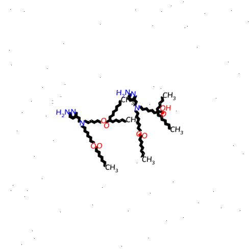 CCCCCCCCC(=O)OCCCCCCCCN(CCCCCCC(CCCCCC)(CCCCCCCC)C(=O)O)CCc1ccc(N)nc1.CCCCCCCCC(=O)OCCCCCCCCN(CCCCCCOC(=O)C(CCCCCC)CCCCCCCC)CCc1ccc(N)nc1